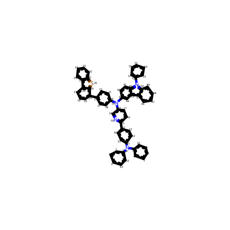 c1ccc(N(c2ccccc2)c2ccc(-c3ccc(N(c4ccc(-c5cccc6c5sc5ccccc56)cc4)c4ccc5c(c4)c4ccccc4n5-c4ccccc4)cn3)cc2)cc1